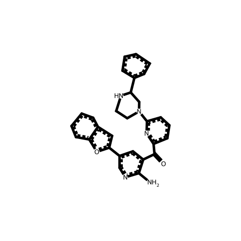 Nc1ncc(-c2cc3ccccc3o2)cc1C(=O)c1cccc(N2CCNC(c3ccccc3)C2)n1